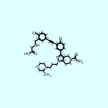 C[C@H]1COCCN1CCCn1nc(-c2ccc(Cl)c(C#Cc3ccc(Cl)c(CNCC(=O)O)c3)c2)c2c1CCN(C(N)=O)C2